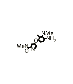 CNC(=O)c1cc(Oc2ccc(N)c(NC)c2C)ccn1